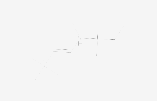 CCC(C)(C)[SiH](C)C=CC(C)(C)C